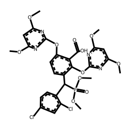 COc1cc(OC)nc(Oc2ccc(C(c3ccc(Cl)cc3Cl)P(=O)(OC)OC)c(Oc3nc(OC)cc(OC)n3)c2C(=O)O)n1